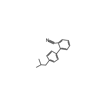 CC(C)Cc1ccc(-c2ccccc2C#N)cc1